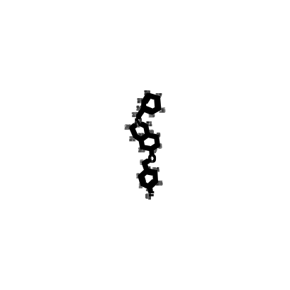 Fc1ccc(COC2CCC3CN(Cc4ccccc4)CCC3C2)cc1